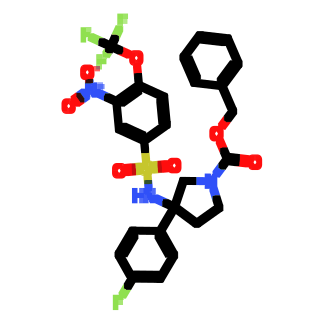 O=C(OCc1ccccc1)N1CCC(NS(=O)(=O)c2ccc(OC(F)(F)F)c([N+](=O)[O-])c2)(c2ccc(F)cc2)C1